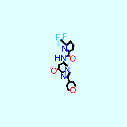 COc1cc(NC(=O)c2cccc(C(F)(F)F)n2)cn2cc(C3CCOCC3)nc12